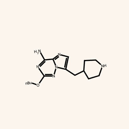 CCCCOc1nc(N)c2ncc(CC3CCNCC3)n2n1